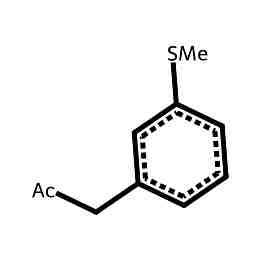 CSc1cccc(CC(C)=O)c1